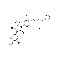 N#Cc1ncc(N2C(=O)C3(CCC3)N(c3ccc(OCCCN4CCCC4)c(F)c3)C2=S)cc1C(F)(F)F